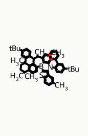 Cc1cc2c3c(c1)N(c1ccc(C(C)(C)C)cc1-c1ccccc1)c1c(sc4ccc(C)cc14)B3c1ccc3c4c1C(c1ccc(C(C)(C)C)cc1C4(C)CCC3(C)C)C2C